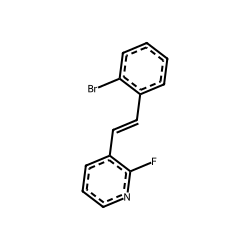 Fc1ncccc1C=Cc1ccccc1Br